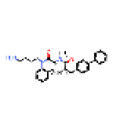 CN[C@H](Cc1ccc(-c2ccccc2)cc1)C(=O)N(C)[C@H](Cc1ccccc1)C(=O)NCCCCN